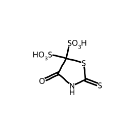 O=C1NC(=S)SC1(S(=O)(=O)O)S(=O)(=O)O